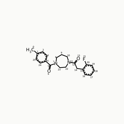 Cc1ccc(C(=O)N2CCCN(C(=O)Cc3ccccc3F)CC2)cc1